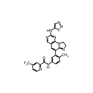 Cc1ccc(NC(=O)c2cc(C(F)(F)F)ccn2)cc1C1=Cc2cnc(Nc3cnns3)nc2N2CCN=C12